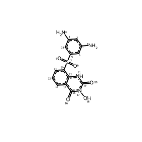 Nc1cc(N)cc(S(=O)(=O)c2cccc3c(=O)n(O)c(=O)[nH]c23)c1